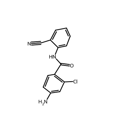 N#Cc1ccccc1NC(=O)c1ccc(N)cc1Cl